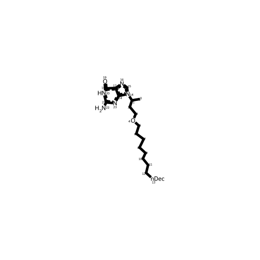 [CH2]C(CCOCCCCCCCCCCCCCCCCCC)n1cnc2c(=O)[nH]c(N)nc21